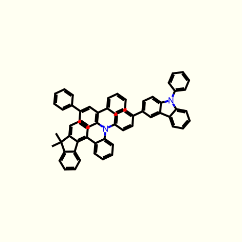 CC1(C)c2ccccc2-c2c(-c3ccccc3N(c3ccc(-c4ccc5c(c4)c4ccccc4n5-c4ccccc4)cc3)c3ccc(-c4ccccc4)cc3-c3ccccc3)cccc21